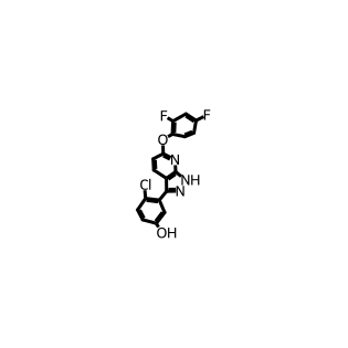 Oc1ccc(Cl)c(-c2n[nH]c3nc(Oc4ccc(F)cc4F)ccc23)c1